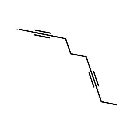 [CH2]C#CCCCC#CCC